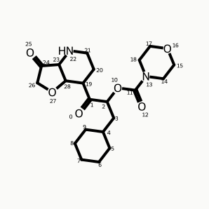 O=C(C(CC1CCCCC1)OC(=O)N1CCOCC1)C1CCNC2C(=O)COC12